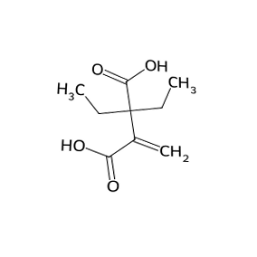 C=C(C(=O)O)C(CC)(CC)C(=O)O